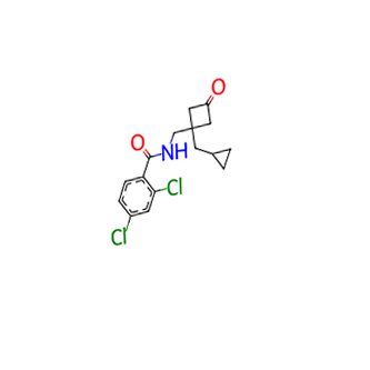 O=C1CC(CNC(=O)c2ccc(Cl)cc2Cl)(CC2CC2)C1